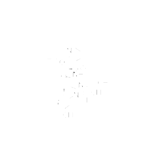 COc1ncccc1S(=O)(=O)NC(=O)c1cc2ccc(C)cc2nc1N1CCC(C)C1(C)C